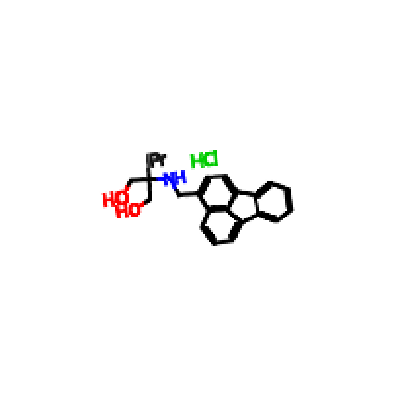 CC(C)C(CO)(CO)NCc1ccc2c3c(cccc13)-c1ccccc1-2.Cl